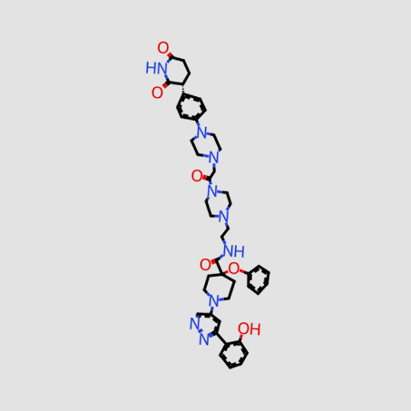 O=C1CC[C@H](c2ccc(N3CCN(CC(=O)N4CCN(CCNC(=O)C5(Oc6ccccc6)CCN(c6cnnc(-c7ccccc7O)c6)CC5)CC4)CC3)cc2)C(=O)N1